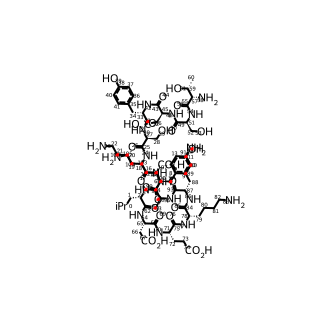 CC(C)C[C@H](NC(=O)[C@H](Cc1ccc(O)cc1)NC(=O)[C@H](CCCCN)NC(=O)[C@H](CO)NC(=O)[C@H](Cc1ccc(O)cc1)NC(=O)[C@H](CC(=O)O)NC(=O)[C@H](CO)NC(=O)[C@@H](N)[C@@H](C)O)C(=O)N[C@@H](CC(=O)O)C(=O)N[C@@H](CCC(=O)O)C(=O)N[C@@H](CCCCN)C(=O)N[C@@H](CCCCN)C(=O)N[C@@H](C)C(=O)N[C@@H](CCCCN)C(=O)O